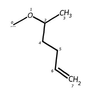 [C]OC(C)CCC=C